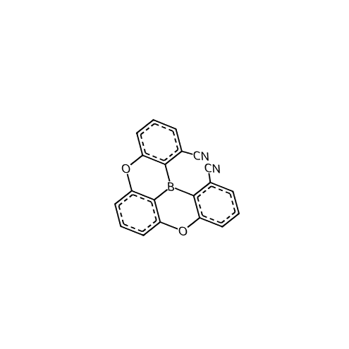 N#Cc1cccc2c1B1c3c(C#N)cccc3Oc3cccc(c31)O2